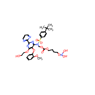 COc1ccccc1Oc1c(OCCO)nc(-c2ncccn2)nc1N(COC(=O)OCCCCON(O)O)S(=O)(=O)c1ccc(C(C)(C)C)cc1